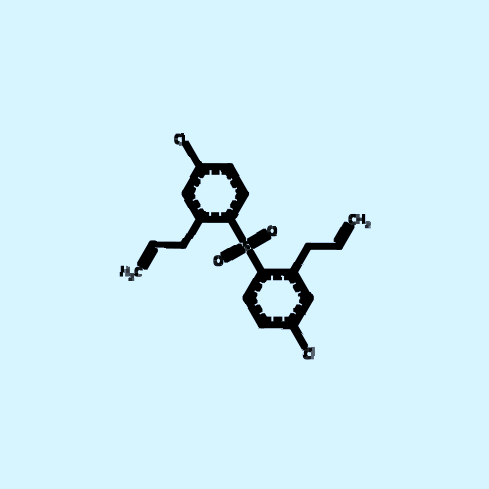 C=CCc1cc(Cl)ccc1S(=O)(=O)c1ccc(Cl)cc1CC=C